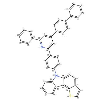 c1ccc(-c2ccc(-c3cc(-c4ccccc4)nc(-c4ccc(-n5c6ccccc6c6c7sccc7ccc65)cc4)c3)cc2)cc1